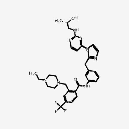 CCN1CCN(Cc2cc(C(F)(F)F)ccc2C(=O)Nc2cccc(Cc3nccn3-c3ccnc(NC[C@H](C)O)n3)c2)CC1